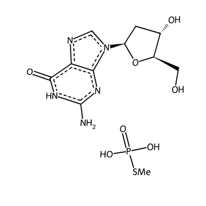 CSP(=O)(O)O.Nc1nc2c(ncn2[C@H]2C[C@H](O)[C@@H](CO)O2)c(=O)[nH]1